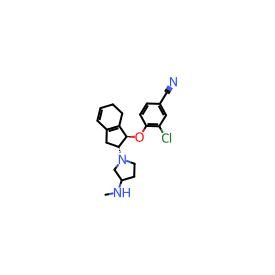 CNC1CCN([C@@H]2CC3=C(CCC=C3)[C@H]2Oc2ccc(C#N)cc2Cl)C1